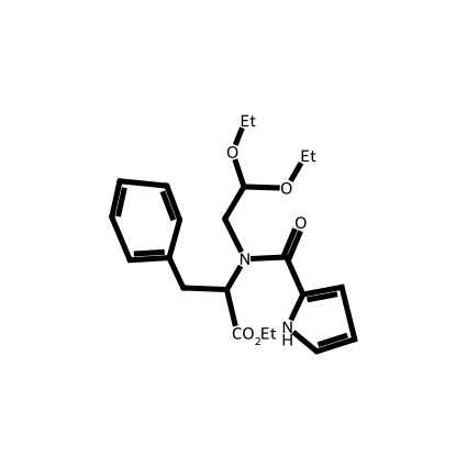 CCOC(=O)C(Cc1ccccc1)N(CC(OCC)OCC)C(=O)c1ccc[nH]1